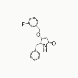 O=C1C=C(OCc2cccc(F)c2)C(Cc2ccccc2)N1